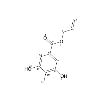 C=CCOC(=O)c1cc(O)c(C)c(O)c1